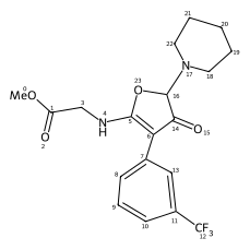 COC(=O)CNC1=C(c2cccc(C(F)(F)F)c2)C(=O)C(N2CCCCC2)O1